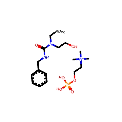 CCCCCCCCCCCN(CCO)C(=O)NCc1ccccc1.C[N+](C)(C)CCOP(=O)(O)O